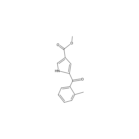 COC(=O)c1c[nH]c(C(=O)c2ccccc2C)c1